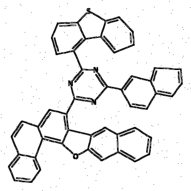 c1ccc2cc(-c3nc(-c4cccc5sc6ccccc6c45)nc(-c4cc5ccc6ccccc6c5c5oc6cc7ccccc7cc6c45)n3)ccc2c1